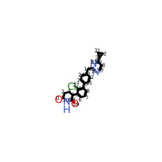 O=C1CCC(c2cccc(-c3ccc(Cc4nccc(C5CC5)n4)cc3)c2Cl)C(=O)N1